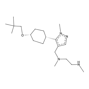 CNCCN(C)Cc1cnn(C)c1[C@H]1CC[C@@H](OCC(C)(C)C)CC1